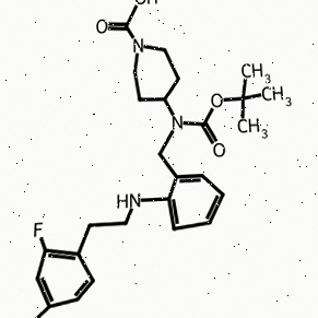 CC(C)(C)OC(=O)N(Cc1ccccc1NCCc1ccc(Cl)cc1F)C1CCN(C(=O)O)CC1